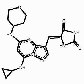 O=C1NC(=O)/C(=C/c2cnn3c(NC4CC4)cc(NC4CCOCC4)nc23)N1